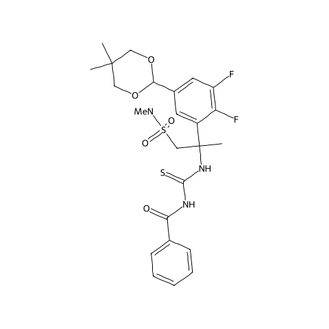 CNS(=O)(=O)CC(C)(NC(=S)NC(=O)c1ccccc1)c1cc(C2OCC(C)(C)CO2)cc(F)c1F